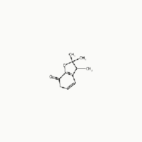 CC1C2=C(OC1(C)C)C(=O)CC=C2